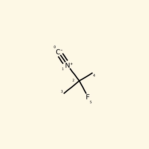 [C-]#[N+]C(C)(C)F